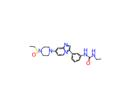 CCNC(=O)Nc1cccc(-c2cnc3cc(N4CCN([S+]([O-])CC)CC4)ccn23)c1